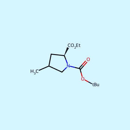 CCOC(=O)[C@@H]1CC(C)CN1C(=O)OC(C)(C)C